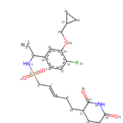 CC(NS(=O)(=O)C/C=C/CCC1CCC(=O)NC1=O)c1ccc(F)c(OCC2CC2)c1